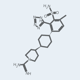 Cc1ccc([C@H]2CC[C@H](C3CCN(C(=N)N)CC3)CC2)c(-c2nnn[nH]2)c1S(N)(=O)=O